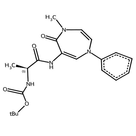 C[C@H](NC(=O)OC(C)(C)C)C(=O)NC1=CN(c2ccccc2)C=CN(C)C1=O